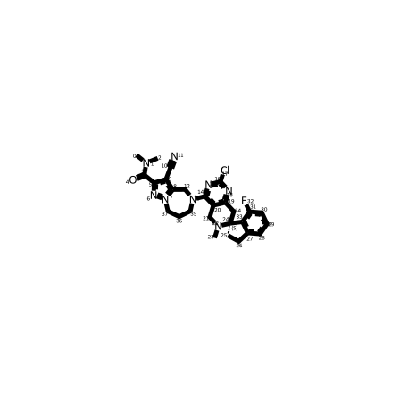 CN(C)C(=O)c1nn2c(c1C#N)CN(c1nc(Cl)nc3c1CN(C)[C@@]1(CCc4cccc(F)c41)C3)CCC2